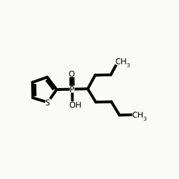 CCCCC(CCC)P(=O)(O)c1cccs1